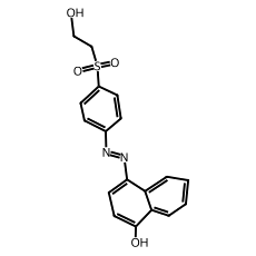 O=S(=O)(CCO)c1ccc(N=Nc2ccc(O)c3ccccc23)cc1